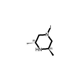 C[C@@H]1CN(I)C[C@@H](C)N1